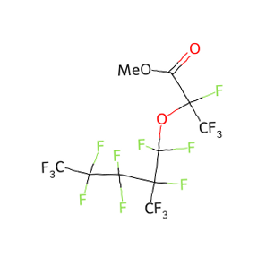 COC(=O)C(F)(OC(F)(F)C(F)(C(F)(F)F)C(F)(F)C(F)(F)C(F)(F)F)C(F)(F)F